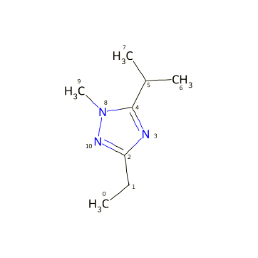 CCc1nc(C(C)C)n(C)n1